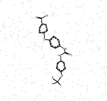 C=C(Nc1ccc(Oc2ccc(C(=O)O)cc2)cc1)Nc1ccc(OC(F)(F)F)cc1